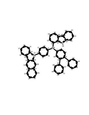 c1ccc(-c2ccc(N(c3ccc(-n4c5ccccc5c5cc6ccccc6cc54)cc3)c3cccc4c3sc3ccccc34)cc2-c2ccccc2)cc1